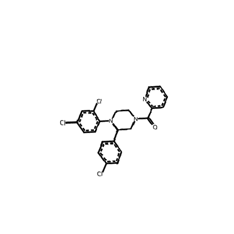 O=C(c1ccccn1)N1CCN(c2ccc(Cl)cc2Cl)C(c2ccc(Cl)cc2)C1